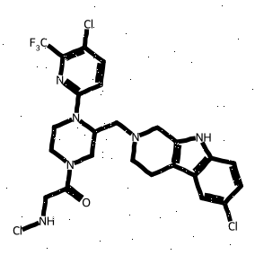 O=C(CNCl)N1CCN(c2ccc(Cl)c(C(F)(F)F)n2)C(CN2CCc3c([nH]c4ccc(Cl)cc34)C2)C1